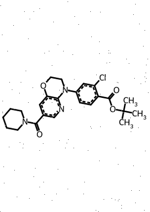 CC(C)(C)OC(=O)c1ccc(N2CCOc3cc(C(=O)N4CCCCC4)cnc32)cc1Cl